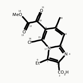 CCc1c(C(=O)O)nc2cc(C)c(C(=O)C(=O)OC)c(Cl)n12